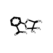 C=C1OB(c2ccccc2C(=O)P)OC1(C)C